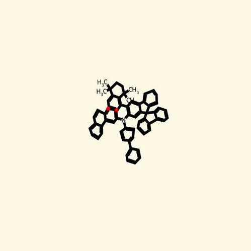 CC1(C)CCC(C)(C)c2c(-c3cc4c(cc3N(c3ccc(-c5ccccc5)cc3)c3ccc5ccc6ccccc6c5c3)C3(c5ccccc5-c5ccccc53)c3ccccc3-4)cccc21